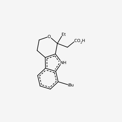 CCC(C)c1cccc2c3c([nH]c12)C(CC)(CC(=O)O)OCC3